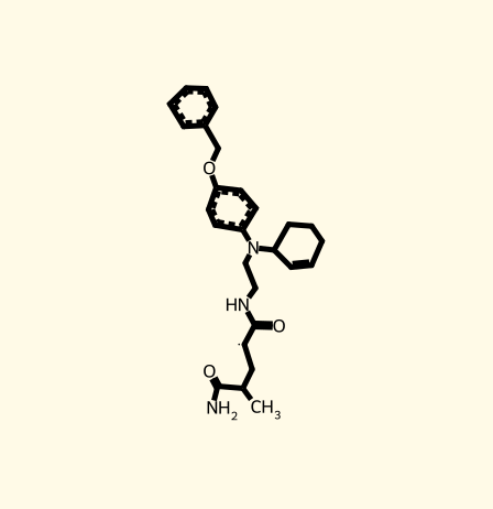 CC(C[CH]C(=O)NCCN(c1ccc(OCc2ccccc2)cc1)C1C=CCCC1)C(N)=O